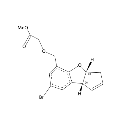 COC(=O)COCc1cc(Br)cc2c1O[C@@H]1CC=C[C@H]21